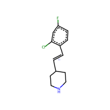 Fc1ccc(/C=C/C2CCNCC2)c(Cl)c1